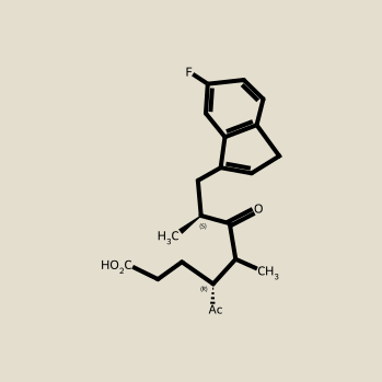 CC(=O)[C@H](CCC(=O)O)C(C)C(=O)[C@@H](C)CC1=CCc2ccc(F)cc21